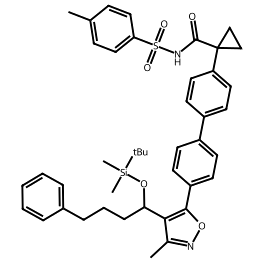 Cc1ccc(S(=O)(=O)NC(=O)C2(c3ccc(-c4ccc(-c5onc(C)c5C(CCCc5ccccc5)O[Si](C)(C)C(C)(C)C)cc4)cc3)CC2)cc1